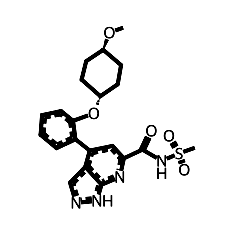 CO[C@H]1CC[C@H](Oc2ccccc2-c2cc(C(=O)NS(C)(=O)=O)nc3[nH]ncc23)CC1